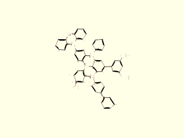 Cc1cc(C)cc(-c2cc3c4c(c2)N(c2ccccc2)c2cc(N5c6ccccc6Sc6ccccc65)ccc2B4c2ccc(C)cc2N3c2ccc(-c3ccccc3)cc2)c1